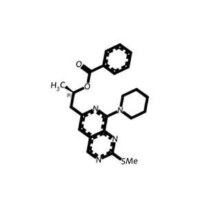 CSc1ncc2cc(C[C@@H](C)OC(=O)c3ccccc3)nc(N3CCCCC3)c2n1